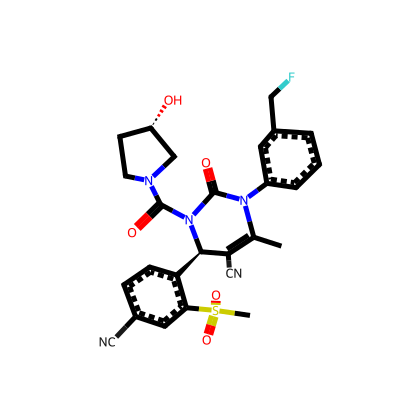 CC1=C(C#N)[C@@H](c2ccc(C#N)cc2S(C)(=O)=O)N(C(=O)N2CC[C@H](O)C2)C(=O)N1c1cccc(CF)c1